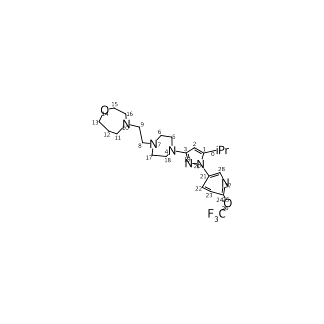 CC(C)c1cc(N2CCN(CCN3CCCOCC3)CC2)nn1-c1ccc(OC(F)(F)F)nc1